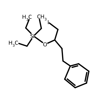 CC[Si](CC)(CC)OC(CI)CCc1ccccc1